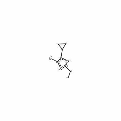 C[CH]c1nc(C2CC2)c(Br)s1